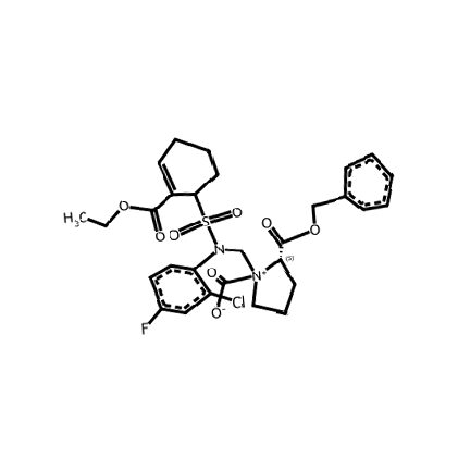 CCOC(=O)C1=CCCCC1S(=O)(=O)N(C[N+]1(C(=O)[O-])CCC[C@H]1C(=O)OCc1ccccc1)c1ccc(F)cc1Cl